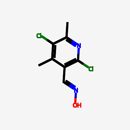 Cc1nc(Cl)c(C=NO)c(C)c1Cl